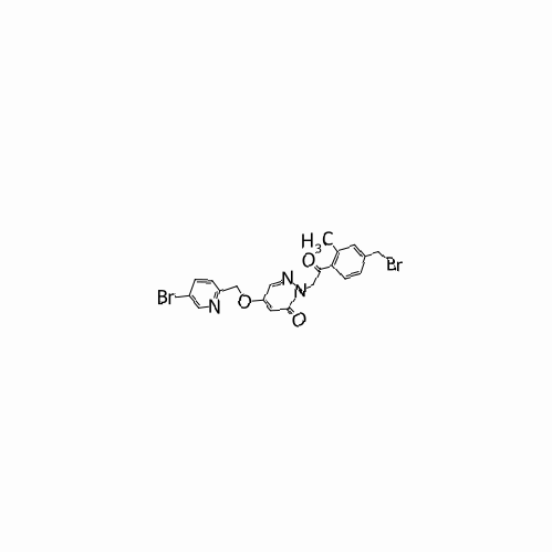 Cc1cc(CBr)ccc1C(=O)Cn1ncc(OCc2ccc(Br)cn2)cc1=O